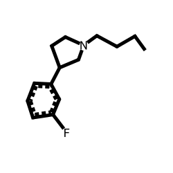 CCCCN1CCC(c2cccc(F)c2)C1